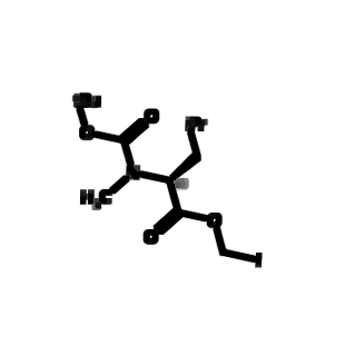 CC(C)C[C@@H](C(=O)OCI)N(C)C(=O)OC(C)(C)C